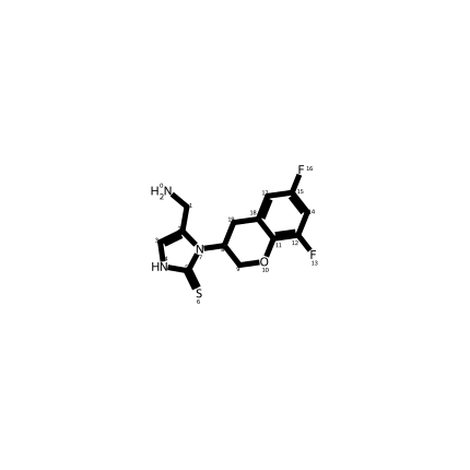 NCc1c[nH]c(=S)n1C1COc2c(F)cc(F)cc2C1